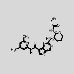 Cc1cc(C)nc(NC(=O)c2csc3cnc(N[C@@H]4CCCO[C@H]4NC(=O)OC(C)(C)C)nc23)c1